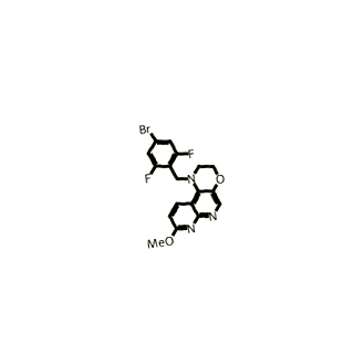 COc1ccc2c3c(cnc2n1)OCCN3Cc1c(F)cc(Br)cc1F